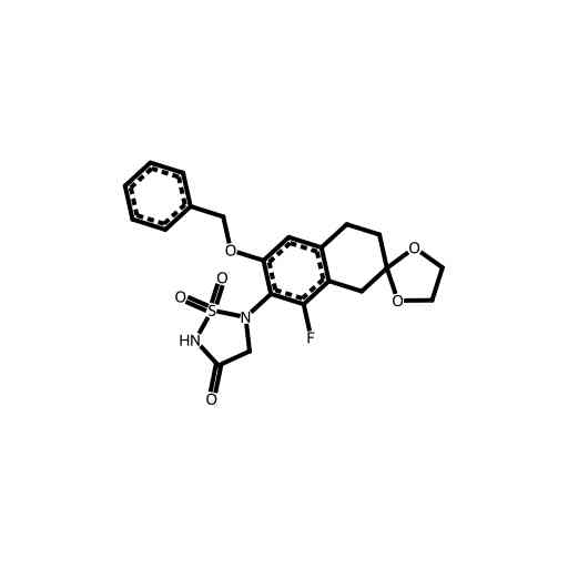 O=C1CN(c2c(OCc3ccccc3)cc3c(c2F)CC2(CC3)OCCO2)S(=O)(=O)N1